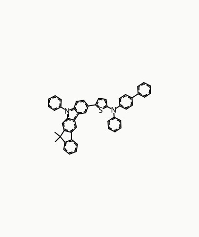 CC1(C)c2ccccc2-c2cc3c4cc(-c5ccc(N(c6ccccc6)c6ccc(-c7ccccc7)cc6)s5)ccc4n(-c4ccccc4)c3cc21